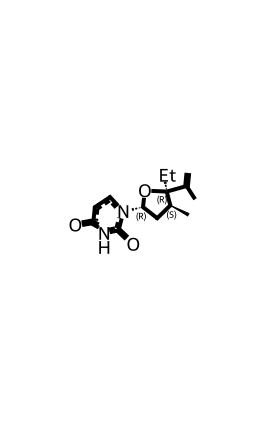 C=C(C)[C@]1(CC)O[C@@H](n2ccc(=O)[nH]c2=O)C[C@@H]1C